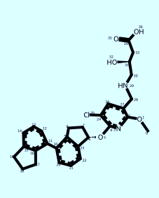 COc1nc(O[C@H]2CCc3c(-c4cccc5c4CCC5)cccc32)c(Cl)cc1CNC[C@@H](O)CC(=O)O